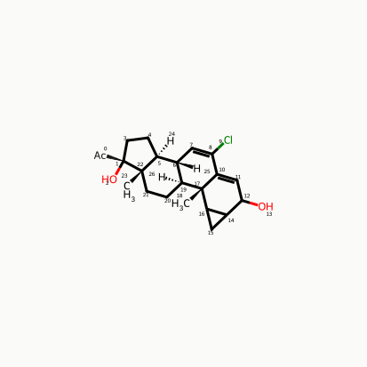 CC(=O)[C@@]1(O)CC[C@H]2[C@@H]3C=C(Cl)C4=CC(O)C5CC5[C@]4(C)[C@H]3CC[C@@]21C